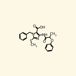 CSc1nc(NC(=O)C(C)Oc2ccccc2)c(C(=O)O)n1Cc1ccccc1